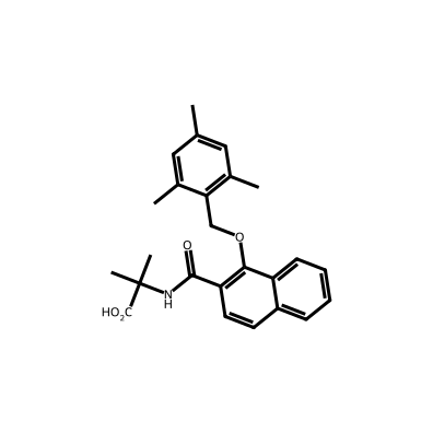 Cc1cc(C)c(COc2c(C(=O)NC(C)(C)C(=O)O)ccc3ccccc23)c(C)c1